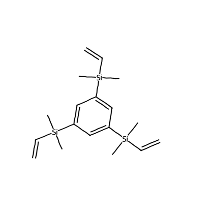 C=C[Si](C)(C)c1cc([Si](C)(C)C=C)cc([Si](C)(C)C=C)c1